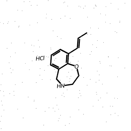 C/C=C/c1cccc2c1OCCNC2.Cl